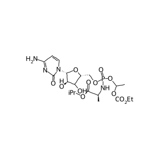 CCOC(=O)OC(C)OP(=O)(N[C@@H](C)C(=O)OC(C)C)OC[C@H]1O[C@@H](n2ccc(N)nc2=O)[C@H](O)C1O